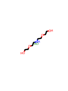 Cl.OCCOCCNCCOCCO